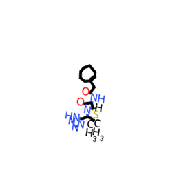 CC1(C)S[C@@H]2C(NC(=O)C/C3=C/CCCCCC3)C(=O)N2C1c1nnn[nH]1